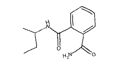 CCC(C)NC(=O)c1ccccc1C(N)=O